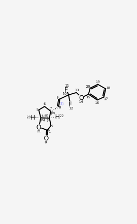 O=C1C[C@H]2[C@H](CC[C@@H]2/C=C/C(F)(F)COc2ccccc2)O1